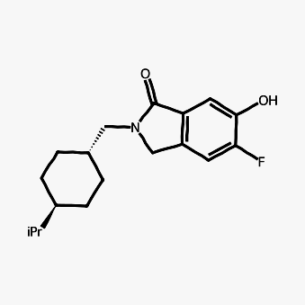 CC(C)[C@H]1CC[C@H](CN2Cc3cc(F)c(O)cc3C2=O)CC1